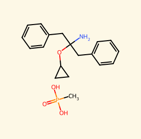 CP(=O)(O)O.NC(Cc1ccccc1)(Cc1ccccc1)OC1CC1